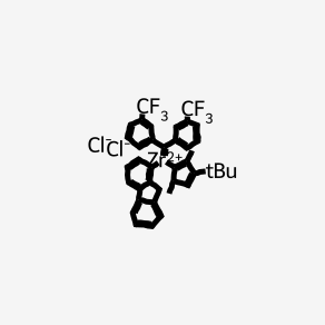 CC1=[C]([Zr+2](=[C](c2cccc(C(F)(F)F)c2)c2cccc(C(F)(F)F)c2)[c]2cccc3c2Cc2ccccc2-3)C(C)C=C1C(C)(C)C.[Cl-].[Cl-]